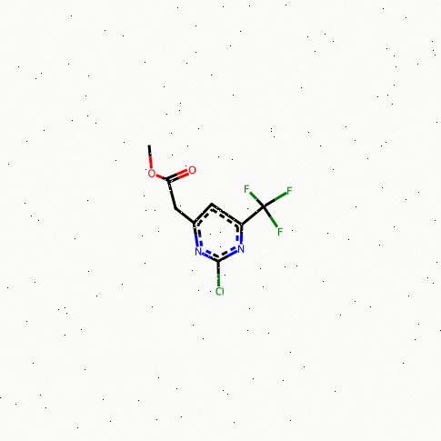 COC(=O)Cc1cc(C(F)(F)F)nc(Cl)n1